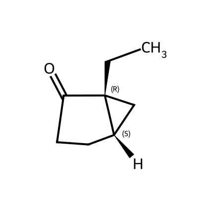 CC[C@@]12C[C@@H]1CCC2=O